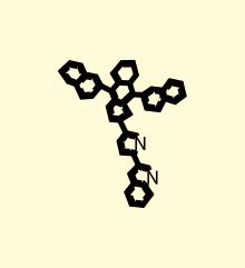 C1=CCC2C(=C1)C(c1ccc3ccccc3c1)=c1ccc(-c3ccc(-c4cnc5ccccc5c4)nc3)cc1=C2c1ccc2ccccc2c1